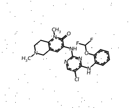 CN1CCc2c(cc(Nc3ncc(Cl)c(Nc4ccccc4OC(F)F)n3)c(=O)n2C)C1